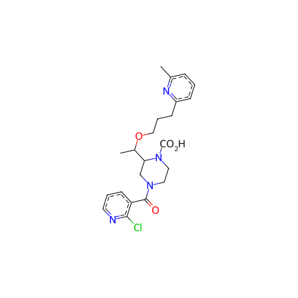 Cc1cccc(CCCOC(C)C2CN(C(=O)c3cccnc3Cl)CCN2C(=O)O)n1